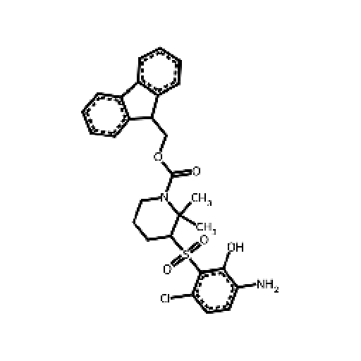 CC1(C)C(S(=O)(=O)c2c(Cl)ccc(N)c2O)CCCN1C(=O)OCC1c2ccccc2-c2ccccc21